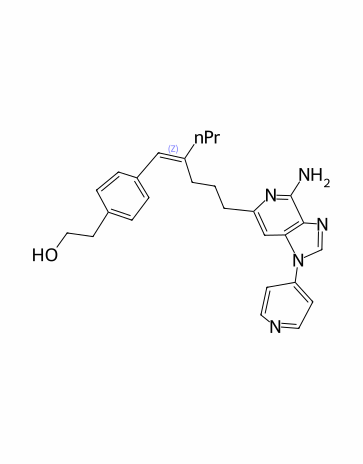 CCC/C(=C/c1ccc(CCO)cc1)CCCc1cc2c(ncn2-c2ccncc2)c(N)n1